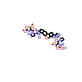 COC(=O)N[C@H](C(=O)N1C[C@@H](C)C[C@H]1c1nc2ccc3cc4c(cc3c2[nH]1)OCc1cc(-c2cnc([C@@H]3CC[C@H](C)N3C(=O)[C@@H](NC(=O)O)[C@@H](C)OC)[nH]2)ccc1-4)[C@@H](C)OC